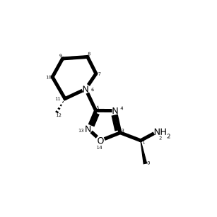 C[C@H](N)c1nc(N2CCCC[C@H]2C)no1